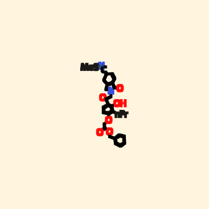 CCCc1c(OCC(=O)OCc2ccccc2)ccc(C(=O)CN2CC3=C(C=CC(=C=NSC)C3)C2=O)c1O